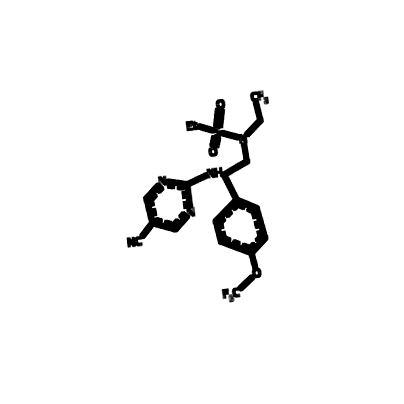 CCS(=O)(=O)N(CC(Nc1ncc(C#N)cn1)c1ccc(OC(F)(F)F)cc1)CC(F)(F)F